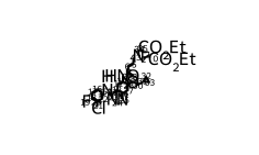 CCOC(=O)CCN(C/C=C/C(=O)Nc1cc2c(Nc3ccc(F)c(Cl)c3)ncnc2cc1OCC1CC1)CC(=O)OCC